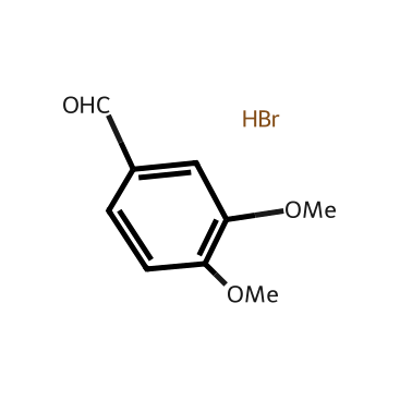 Br.COc1ccc(C=O)cc1OC